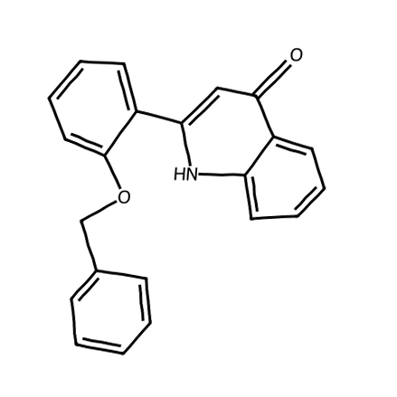 O=c1cc(-c2ccccc2OCc2ccccc2)[nH]c2ccccc12